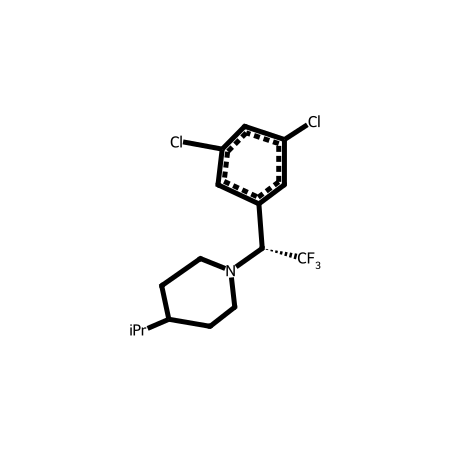 CC(C)C1CCN([C@H](c2cc(Cl)cc(Cl)c2)C(F)(F)F)CC1